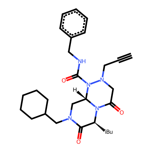 C#CCN1CC(=O)N2[C@@H](C(C)CC)C(=O)N(CC3CCCCC3)C[C@@H]2N1C(=O)NCc1ccccc1